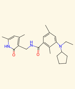 CCN(c1cc(C)cc(C(=O)NCc2c(C)cc(C)[nH]c2=O)c1C)C1CCCC1